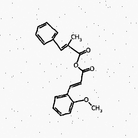 COc1ccccc1C=CC(=O)OC(=O)C(C)=Cc1ccccc1